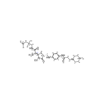 CCN1C(=O)[C@@H](CNc2ccc(NC(=O)CCN3CCN(C)CC3)cc2)S/C1=C(/N)C(=O)NCC(C)(C)CN(C)C